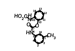 Cc1cccc(NC(=O)Oc2ccccc2NC(=O)O)c1